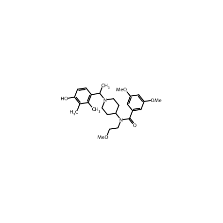 COCCN(C(=O)c1cc(OC)cc(OC)c1)C1CCN(C(C)c2ccc(O)c(C)c2C)CC1